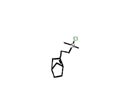 C[Si](C)(Cl)CCC1=C2CCC(C2)C1